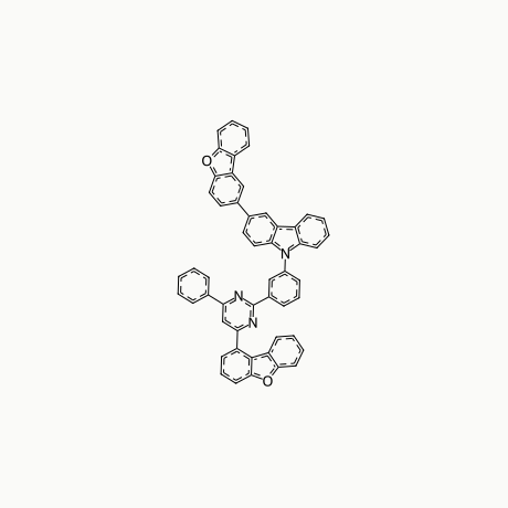 c1ccc(-c2cc(-c3cccc4oc5ccccc5c34)nc(-c3cccc(-n4c5ccccc5c5cc(-c6ccc7oc8ccccc8c7c6)ccc54)c3)n2)cc1